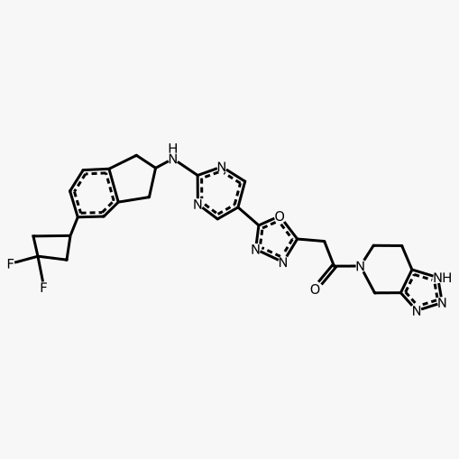 O=C(Cc1nnc(-c2cnc(NC3Cc4ccc(C5CC(F)(F)C5)cc4C3)nc2)o1)N1CCc2[nH]nnc2C1